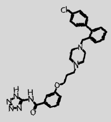 O=C(Nc1nnn[nH]1)c1cccc(OCCCN2CCN(Cc3ccccc3-c3ccc(Cl)cc3)CC2)c1